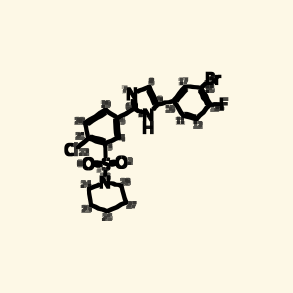 O=S(=O)(c1cc(-c2ncc(-c3ccc(F)c(Br)c3)[nH]2)ccc1Cl)N1CCCCC1